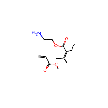 C=CC(=O)OC.CCC(C(=O)OCCN)=C(C)C